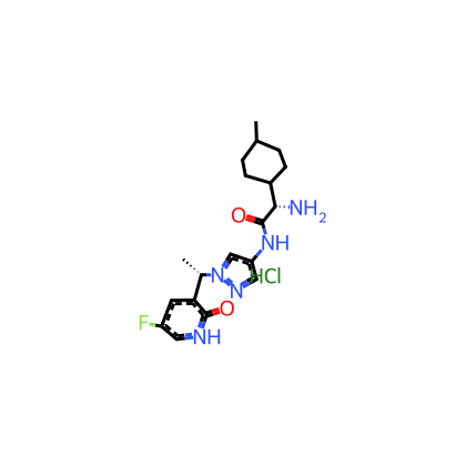 CC1CCC([C@H](N)C(=O)Nc2cnn([C@@H](C)c3cc(F)c[nH]c3=O)c2)CC1.Cl